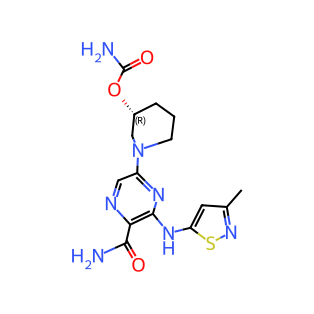 Cc1cc(Nc2nc(N3CCC[C@@H](OC(N)=O)C3)cnc2C(N)=O)sn1